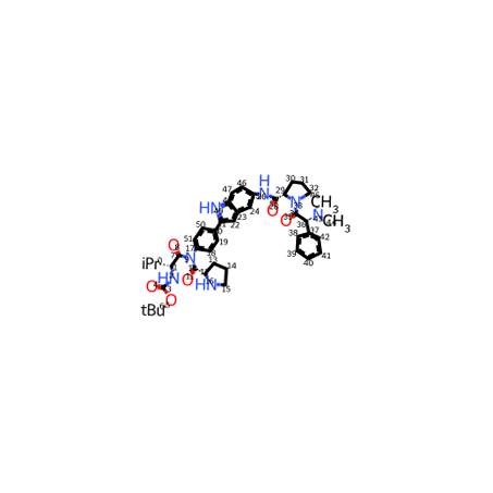 CC(C)[C@@H](NC(=O)OC(C)(C)C)C(=O)N(C(=O)[C@@H]1CCCN1)c1ccc(-c2cc3cc(NC(=O)[C@@H]4CCCN4C(=O)[C@@H](c4ccccc4)N(C)C)ccc3[nH]2)cc1